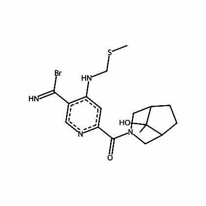 CSCNc1cc(C(=O)N2CC3CCC(C2)C3(C)O)ncc1C(=N)Br